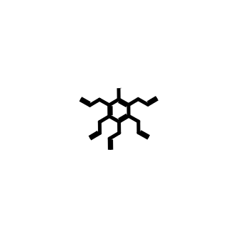 [CH2]c1c(CC=C)c(CC=C)c(CC=C)c(CC=C)c1CC=C